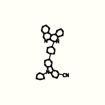 N#Cc1ccc2c(c1)c1cc(-c3ccc(-c4nc5ccccc5c5c4ncc4ccccc45)cc3)ccc1n2-c1ccccc1